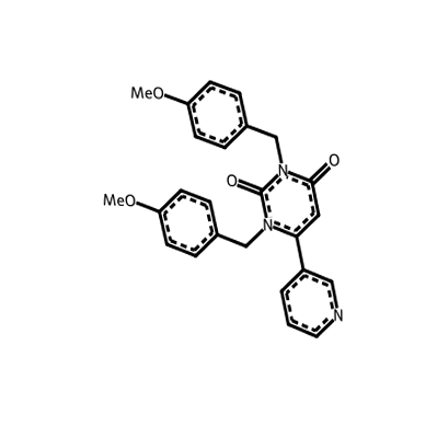 COc1ccc(Cn2c(-c3cccnc3)cc(=O)n(Cc3ccc(OC)cc3)c2=O)cc1